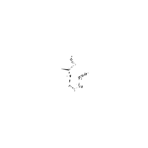 C=CC(C)N1CCNC1=O